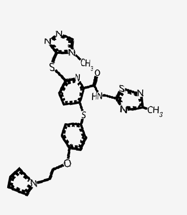 Cc1nsc(NC(=O)c2nc(Sc3nncn3C)ccc2Sc2ccc(OCCn3cccc3)cc2)n1